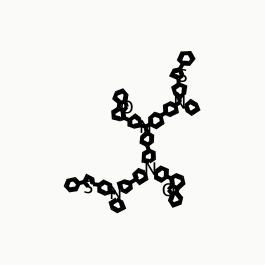 c1ccc(-c2ccc(-c3ccc(N(c4ccccc4)c4ccc(-c5ccc(N(c6ccc(-c7ccc(N(c8ccc(-c9ccc(N(c%10ccccc%10)c%10ccc(-c%11ccc(-c%12ccccc%12)s%11)cc%10)cc9)cc8)c8ccc(-c9cccc%10c9oc9ccccc9%10)cc8)cc7)cc6)c6ccc(-c7cccc8c7oc7ccccc78)cc6)cc5)cc4)cc3)s2)cc1